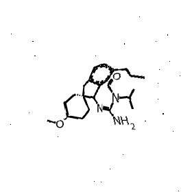 CCCc1ccc2c(c1)C(/N=C(/N)N(C=O)C(C)C)[C@]1(CC[C@H](OC)CC1)C2